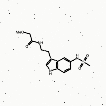 COCC(=O)NCCc1c[nH]c2ccc(NS(C)(=O)=O)cc12